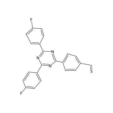 Fc1ccc(-c2nc(-c3ccc(F)cc3)nc(-c3ccc(C=S)cc3)n2)cc1